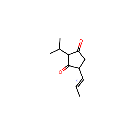 C/C=C/C1CC(=O)C(C(C)C)C1=O